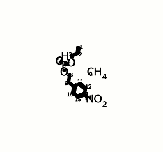 C.C=CCO[PH](=O)OCCc1ccc([N+](=O)[O-])cc1